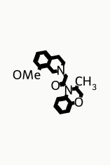 COc1cccc2c1CN(CC(=O)N1c3ccccc3OCC1C)CC2